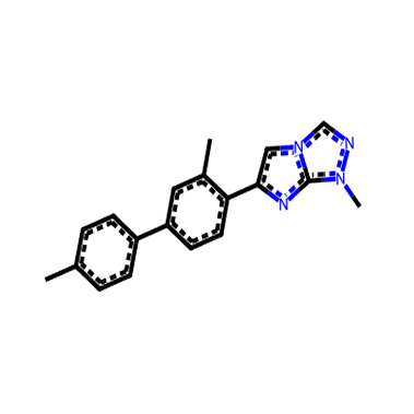 Cc1ccc(-c2ccc(-c3cn4cnn(C)c4n3)c(C)c2)cc1